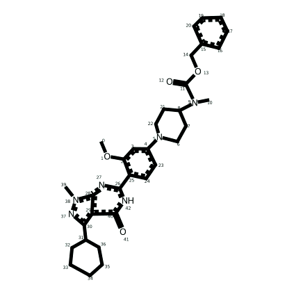 COc1cc(N2CCC(N(C)C(=O)OCc3ccccc3)CC2)ccc1-c1nc2c(c(C3CCCCC3)nn2C)c(=O)[nH]1